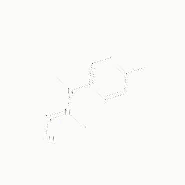 Cc1ccc(N(C)/[N+]([O-])=N/O)cc1